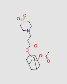 CC(=O)OC12CC3CC(C1)CC(OC(=O)CCN1CCS(=O)(=O)CC1)(C3)C2